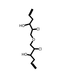 C=CCC(O)C(Cl)COCC(Cl)C(O)CC=C